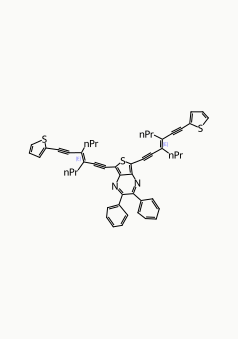 CCC/C(C#Cc1cccs1)=C(\C#Cc1sc(C#C/C(CCC)=C(/C#Cc2cccs2)CCC)c2nc(-c3ccccc3)c(-c3ccccc3)nc12)CCC